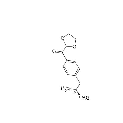 N[C@H](C=O)Cc1ccc(C(=O)C2OCCO2)cc1